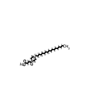 CCCCCCCCCCCCCCCCCCN1CCN(C(=O)CCC(=O)O)CC1